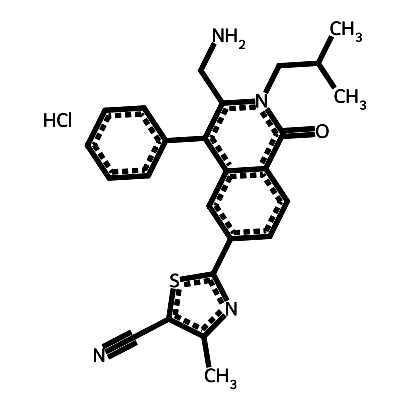 Cc1nc(-c2ccc3c(=O)n(CC(C)C)c(CN)c(-c4ccccc4)c3c2)sc1C#N.Cl